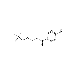 CC(C)(C)CCCCNc1ccc(F)cc1